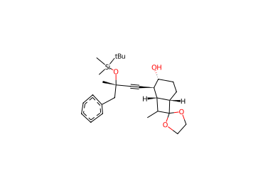 CC1[C@@H]2[C@@H](C#C[C@](C)(Cc3ccccc3)O[Si](C)(C)C(C)(C)C)[C@H](O)CC[C@@H]2C12OCCO2